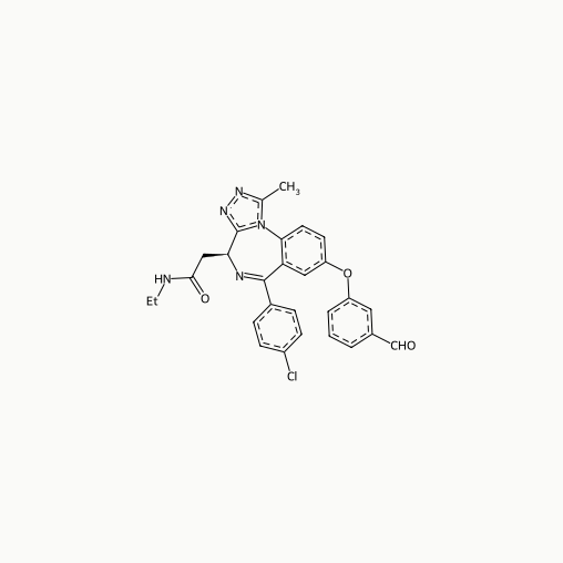 CCNC(=O)C[C@@H]1N=C(c2ccc(Cl)cc2)c2cc(Oc3cccc(C=O)c3)ccc2-n2c(C)nnc21